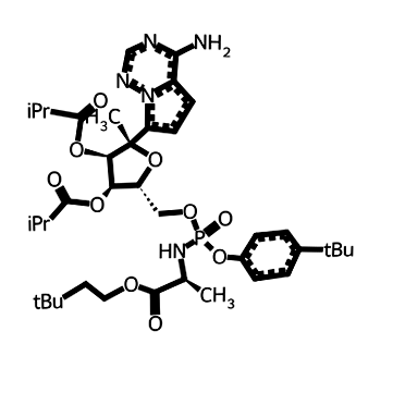 CC(C)C(=O)O[C@H]1[C@@H](OC(=O)C(C)C)[C@](C)(c2ccc3c(N)ncnn23)O[C@@H]1COP(=O)(N[C@@H](C)C(=O)OCCC(C)(C)C)Oc1ccc(C(C)(C)C)cc1